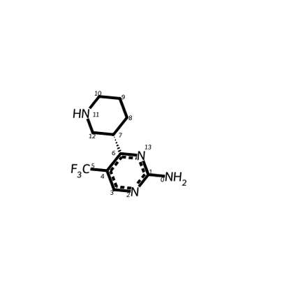 Nc1ncc(C(F)(F)F)c([C@H]2CCCNC2)n1